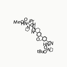 COC(=O)N[C@H](C(=O)N1CCC[C@H]1c1nc2c([nH]1)CCc1cc3c(cc1-2)OCc1cc(-c2cnc([C@@H]4CCCN4C(=O)OC(C)(C)C)[nH]2)ccc1-3)C(C)C